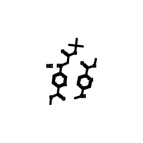 CNc1ccc(C(=O)OC)nc1.COC(=O)c1ccc(NCC(=O)OC(C)(C)C)cn1.Cl